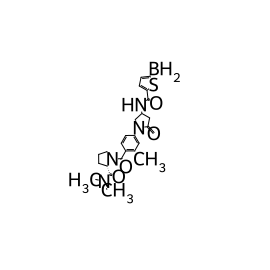 Bc1ccc(C(=O)NC2CC(=O)N(c3ccc(C(=O)N4CCC[C@H]4C(=O)N(C)C)c(C)c3)C2)s1